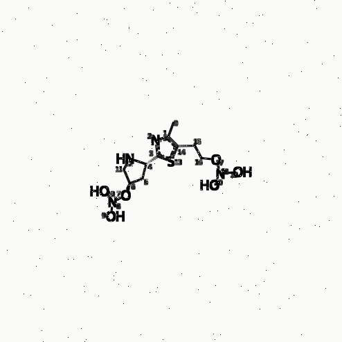 Cc1nc([C@@H]2C[C@@H](ON(O)O)CN2)sc1CCON(O)O